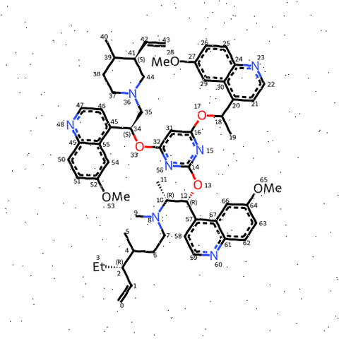 C=C[C@H](CC)C(C)CCN(C)[C@H](C)[C@H](Oc1nc(OC(C)c2ccnc3ccc(OC)cc23)cc(O[C@H](CN2CCC(C)[C@@H](C=C)C2)c2ccnc3ccc(OC)cc23)n1)c1ccnc2ccc(OC)cc12